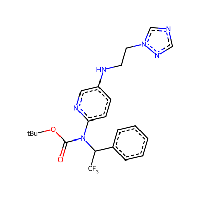 CC(C)(C)OC(=O)N(c1ccc(NCCn2cncn2)cn1)C(c1ccccc1)C(F)(F)F